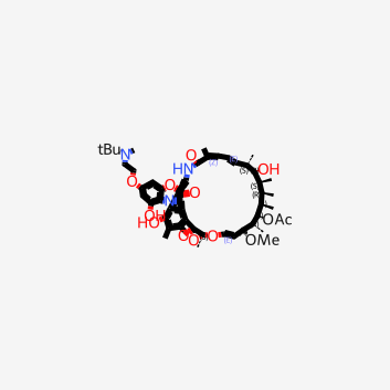 CO[C@H]1/C=C/O[C@@]2(C)Oc3c(C)c(O)c4c(=O)c(c5oc6cc(OCCN(C)C(C)(C)C)cc(O)c6nc-5c4c3C2=O)NC(=O)/C(C)=C\C=C\[C@H](C)[C@H](O)[C@@H](C)[C@@H](C)[C@@H](C)[C@H](OC(C)=O)[C@@H]1C